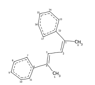 CC(=[C]C=C(C)c1ccccc1)c1ccccc1